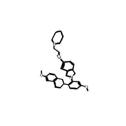 COc1ccc2c(c1)CCC(c1ccc(OC)cc1N1Cc3ccc(OCCN4CCCCC4)cc3C1)C2